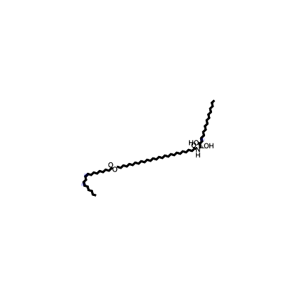 CCCCC/C=C\C/C=C\CCCCCCCC(=O)OCCCCCCCCCCCCCCCCCCCCCCCCCCC(=O)N[C@@H](CO)[C@H](O)/C=C/CCCCCCCCCCCCC